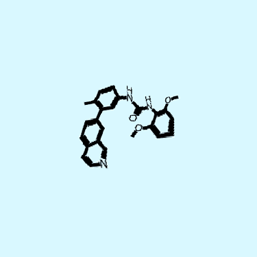 COc1cccc(OC)c1NC(=O)Nc1ccc(C)c(-c2ccc3ccncc3c2)c1